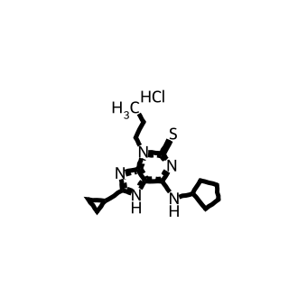 CCCn1c(=S)nc(NC2CCCC2)c2[nH]c(C3CC3)nc21.Cl